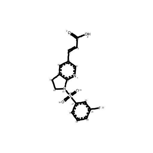 O=C(O)C=Cc1cnc2c(c1)CCN2S(=O)(=O)c1cccc(F)c1